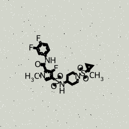 Cn1cc(S(=O)(=O)NC2CCN(S(=O)(=O)C3(C)CC3)CC2)c(F)c1C(=O)Nc1ccc(F)c(F)c1